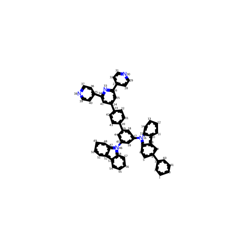 c1ccc(-c2ccc3c(c2)c2ccccc2n3-c2cc(-c3ccc(-c4cc(-c5ccncc5)nc(-c5ccncc5)c4)cc3)cc(-n3c4ccccc4c4ccccc43)c2)cc1